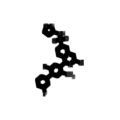 Cc1cc(-c2cccc(F)c2)c(F)cc1-c1nc(Cl)cc2cc(S(=O)(=O)Nc3ccon3)ccc12